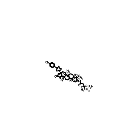 CC(C)C1=C2[C@H]3CC[C@@H]4[C@@]5(C)CC[C@H](OC(=O)CC(C)(C)C(=O)O)C(C)(C)[C@@H]5CC[C@@]4(C)[C@]3(C)CC[C@@]2(c2nc(-c3ccc(Cl)cc3)no2)CC1=O